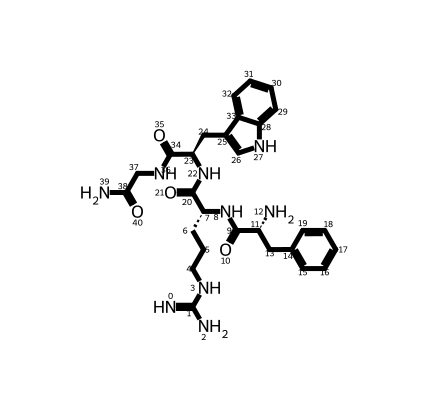 N=C(N)NCCC[C@@H](NC(=O)[C@H](N)Cc1ccccc1)C(=O)N[C@H](Cc1c[nH]c2ccccc12)C(=O)NCC(N)=O